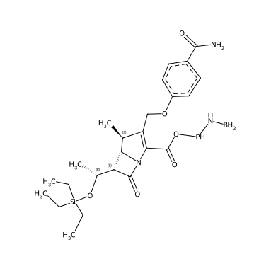 BNPOC(=O)C1=C(COc2ccc(C(N)=O)cc2)[C@H](C)C2[C@@H]([C@@H](C)O[Si](CC)(CC)CC)C(=O)N12